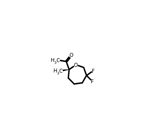 CC(=O)[C@@]1(C)CCCC(F)(F)CO1